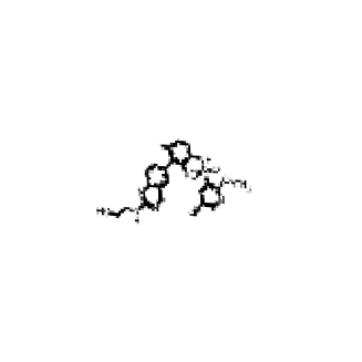 COc1ncc(Cl)cc1S(=O)(=O)Nc1ccc(F)c(-c2ccc3nc(NCCO)ncc3c2)c1F